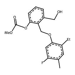 CCc1cc(C)c(F)cc1OCc1c(CO)cccc1OC(=O)OC